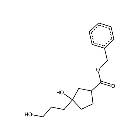 O=C(OCc1ccccc1)C1CCC(O)(CCCO)C1